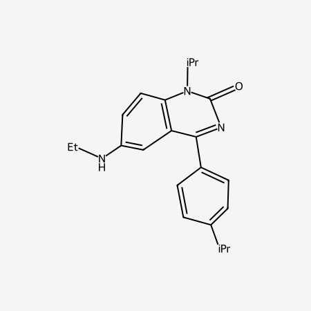 CCNc1ccc2c(c1)c(-c1ccc(C(C)C)cc1)nc(=O)n2C(C)C